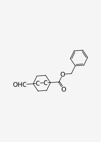 O=CC12CCC(C(=O)OCc3ccccc3)(CC1)CC2